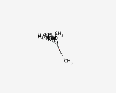 CCCCCCCCCCCCCCCCOc1ccc(-c2nn3nc(C(C)(C)C)c(Cl)c3[nH]2)c(NC(=O)CCC)c1